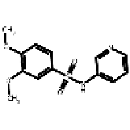 COc1ccc(S(=O)(=O)Nc2cccnc2)cc1OC